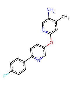 Cc1cc(Oc2ccc(-c3ccc(F)cc3)nc2)ncc1N